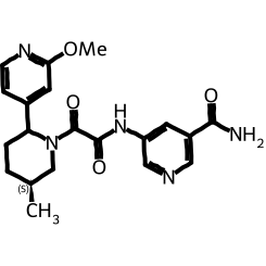 COc1cc(C2CC[C@H](C)CN2C(=O)C(=O)Nc2cncc(C(N)=O)c2)ccn1